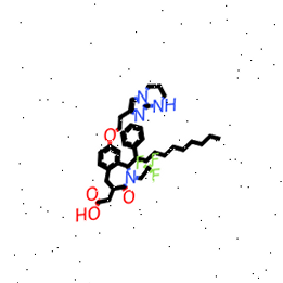 CCCCCCCCCC(c1ccccc1)C1c2cc(OCCc3cn4c(n3)NCCC4)ccc2CC(CC(=O)O)C(=O)N1CC(F)(F)F